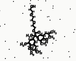 Cc1cc(C(C)(C(=O)OCCOCCOCCO)c2cc(C)c(O)c(CC(C)C)c2)cc(CC(C)C)c1O